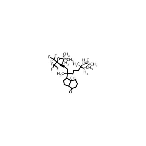 CC(C)(CCC[C@@](C)(CC#CC(O[Si](C)(C)C)(C(F)(F)F)C(F)(F)F)C1CCC2C(=O)CCC[C@@]21C)O[Si](C)(C)C